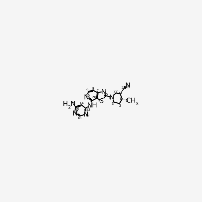 C[C@@H]1CCN(c2nc3ccnc(Nc4cc(N)ncn4)c3s2)C[C@H]1C#N